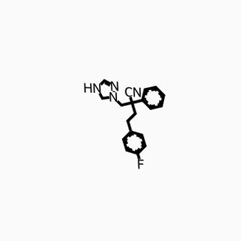 N#CC(CCc1ccc(F)cc1)(CN1CNC=N1)c1ccccc1